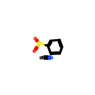 C#N.O=[SH](=O)c1ccccc1